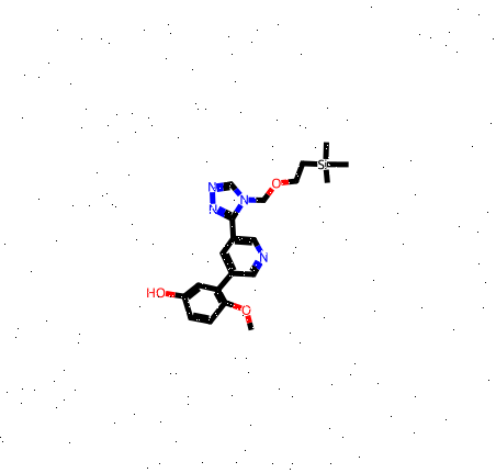 COc1ccc(O)cc1-c1cncc(-c2nncn2COCC[Si](C)(C)C)c1